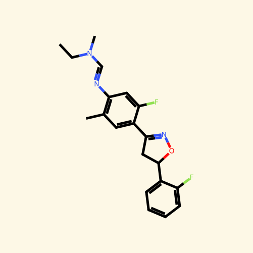 CCN(C)/C=N/c1cc(F)c(C2=NOC(c3ccccc3F)C2)cc1C